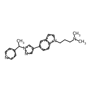 CC(c1ccncc1)n1cc(-c2ccc3c(ccn3CCCN(C)C)c2)cn1